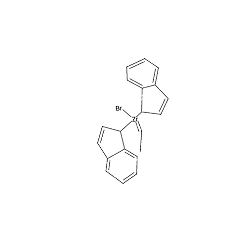 C[CH]=[Zr]([Br])([CH]1C=Cc2ccccc21)[CH]1C=Cc2ccccc21